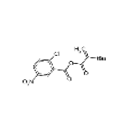 C=C(C(=O)OC(=O)c1cc([N+](=O)[O-])ccc1Cl)C(C)(C)C